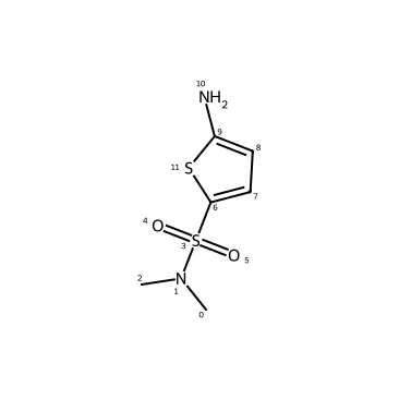 CN(C)S(=O)(=O)c1ccc(N)s1